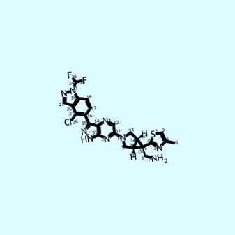 Cc1csc([C@]2(CN)[C@@H]3CN(c4cnc5c(-c6ccc7c(cnn7C(F)F)c6Cl)n[nH]c5n4)C[C@@H]32)n1